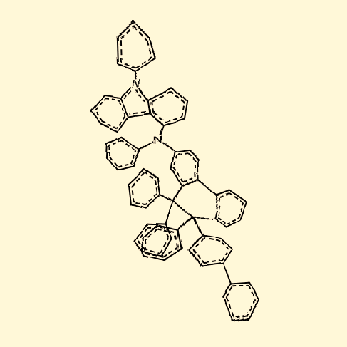 c1ccc(-c2ccc(C3(c4ccccc4)c4ccccc4-c4ccc(N(c5ccccc5)c5cccc6c5c5ccccc5n6-c5ccccc5)cc4C3(c3ccccc3)c3ccccc3)cc2)cc1